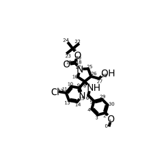 COc1ccc(CNC2(c3cc(Cl)ccn3)CN(C(=O)OC(C)(C)C)CC2CO)cc1